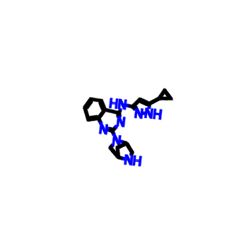 c1ccc2c(Nc3cc(C4CC4)[nH]n3)nc(N3CC4CC3CN4)nc2c1